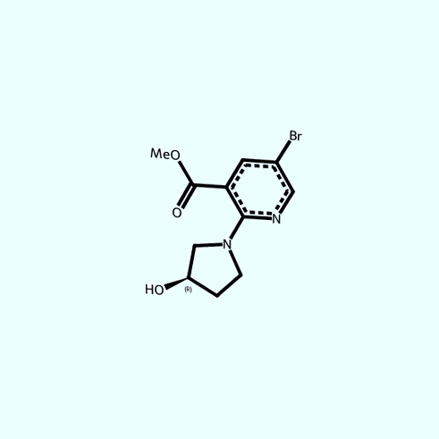 COC(=O)c1cc(Br)cnc1N1CC[C@@H](O)C1